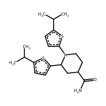 CC(C)c1ccc(C2CC(C(N)=O)CCN2c2ccc(C(C)C)s2)s1